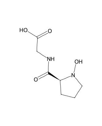 O=C(O)CNC(=O)[C@@H]1CCCN1O